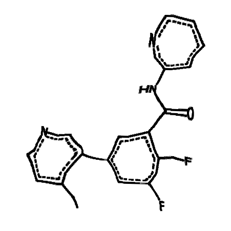 Cc1ccncc1-c1cc(F)c(F)c(C(=O)Nc2ccccn2)c1